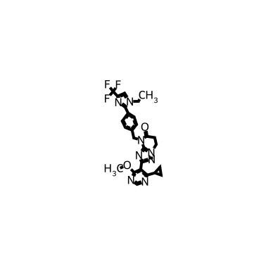 CCn1cc(C(F)(F)F)nc1-c1ccc(CN2C(=O)CCn3nc(-c4c(OC)ncnc4C4CC4)nc32)cc1